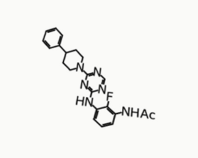 CC(=O)Nc1cccc(Nc2ncnc(N3CCC(c4ccccc4)CC3)n2)c1F